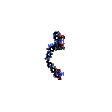 COc1cc(N2CCC(N(C)CCC3CCN(c4ccc(-n5ccc(=O)[nH]c5=O)cc4)CC3)CC2)c(C)cc1Nc1ncc(Br)c(Nc2ccc3nccnc3c2P(C)(C)=O)n1